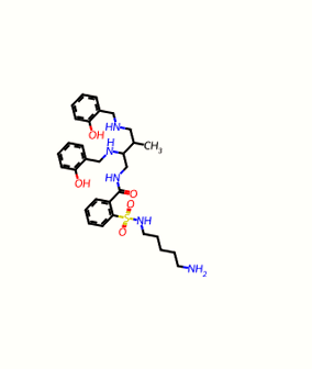 CC(CNCc1ccccc1O)C(CNC(=O)c1ccccc1S(=O)(=O)NCCCCCN)NCc1ccccc1O